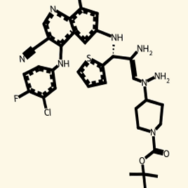 CC(C)(C)OC(=O)N1CCC(N(N)/C=C(\N)[C@@H](Nc2cc(Cl)c3ncc(C#N)c(Nc4ccc(F)c(Cl)c4)c3c2)c2cccs2)CC1